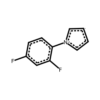 Fc1ccc(-n2c[c]cc2)c(F)c1